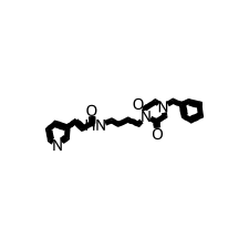 O=C(C=Cc1cccnc1)NCCCCN1C(=O)CN(Cc2ccccc2)CC1=O